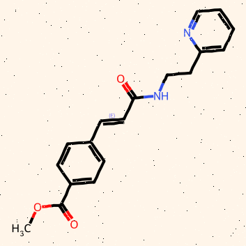 COC(=O)c1ccc(/C=C/C(=O)NCCc2ccccn2)cc1